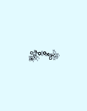 COC(=O)N[C@H](C(=O)N1CCCC[C@H]1c1ncc(-c2ccc3c(c2)Oc2ccc(-c4cnc([C@@H]5CCCCN5C(=O)[C@@H](NC5OCO5)C(C)C)[nH]4)cc2O3)[nH]1)C(C)C